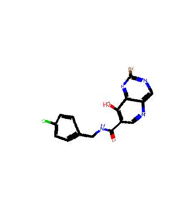 O=C(NCc1ccc(Cl)cc1)c1cnc2cnc(Br)nc2c1O